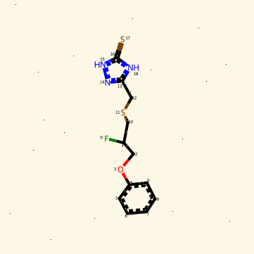 FC(COc1ccccc1)CSCc1n[nH]c(=S)[nH]1